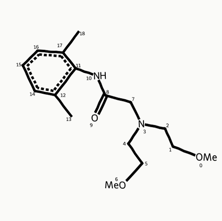 COCCN(CCOC)CC(=O)Nc1c(C)cccc1C